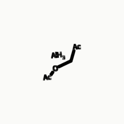 CC(=O)COC(C)=O.[AlH3]